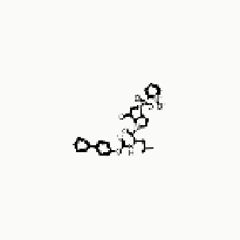 CC(C)CC(NC(=O)Oc1ccc(-c2ccccc2)cc1)C(=O)N1CCC2C1C(=O)CN2S(=O)(=O)c1cccc[n+]1[O-]